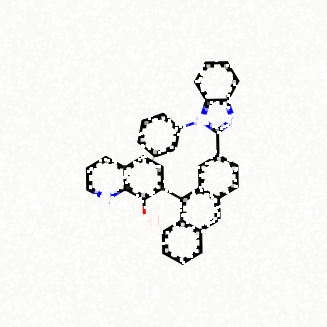 Oc1c(-c2c3ccccc3cc3ccc(-c4nc5ccccc5n4-c4ccccc4)cc23)ccc2cccnc12